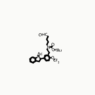 CC(=O)N1c2ccccc2CC1c1ccc(OC(F)(F)F)c(CCN(CCCCC=O)C(=O)OC(C)(C)C)c1